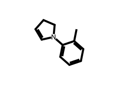 Cc1ccccc1N1C=CCC1